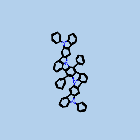 c1ccc(-c2c3c4cccc5c6cc7c(cc6n(c3c(-c3ccccc3)c3c6cccc8c9cc%10c(cc9n(c23)c86)c2ccccc2n%10-c2ccccc2)c54)c2ccccc2n7-c2ccccc2)cc1